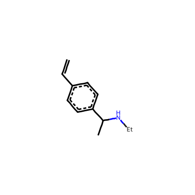 C=Cc1ccc(C(C)NCC)cc1